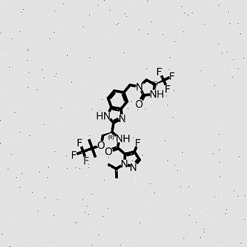 CC(C)n1ncc(F)c1C(=O)N[C@@H](COC(C)(C)C(F)(F)F)c1nc2cc(CN3C[C@@H](C(F)(F)F)NC3=O)ccc2[nH]1